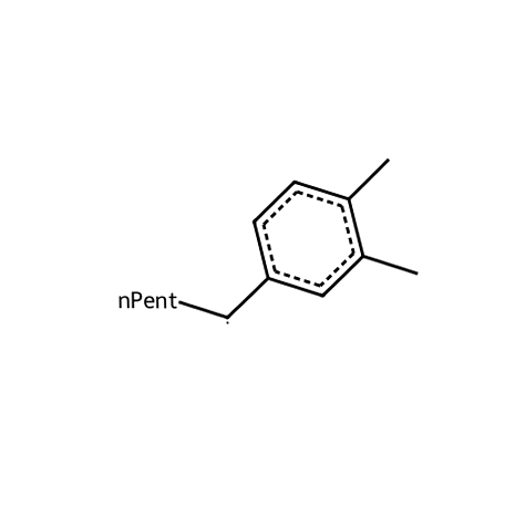 CCCCC[CH]c1ccc(C)c(C)c1